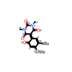 COC1=CC(=O)C(=C2C(=O)N(C)C(=O)N(C)C2=O)C=C1C(C)(C)C